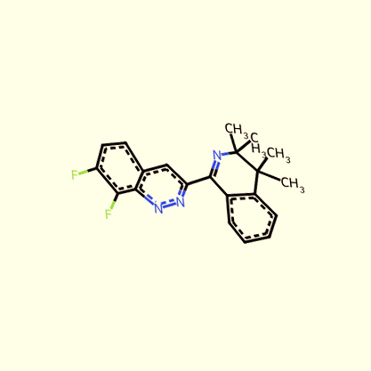 CC1(C)N=C(c2cc3ccc(F)c(F)c3nn2)c2ccccc2C1(C)C